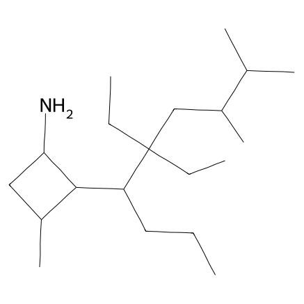 CCCC(C1C(C)CC1N)C(CC)(CC)CC(C)C(C)C